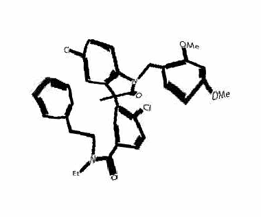 CCN(CCc1ccccc1)C(=O)c1ccc(Cl)c(C2(C)C(=O)N(Cc3ccc(OC)cc3OC)c3ccc(Cl)cc32)c1